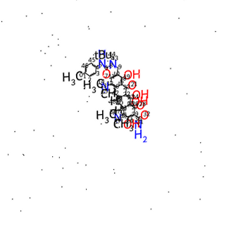 Cc1ccc(NC(=O)N(Cc2cc(N(C)C)c3c(c2O)C(=O)C2=C(O)[C@]4(O)C(=O)C(C(N)=O)=C(O)[C@@H](N(C)C)[C@@H]4C[C@@H]2C3)CC(C)(C)C)cc1